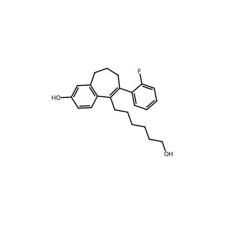 OCCCCCCC1=C(c2ccccc2F)CCCc2cc(O)ccc21